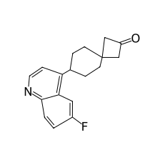 O=C1CC2(CCC(c3ccnc4ccc(F)cc34)CC2)C1